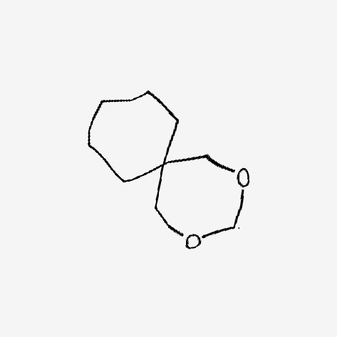 [CH]1OCC2(CCCCC2)CO1